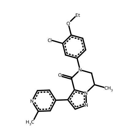 CCOc1ccc(N2CC(C)n3ncc(-c4ccnc(C)c4)c3C2=O)cc1Cl